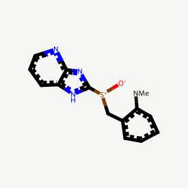 CNc1ccccc1C[S+]([O-])c1nc2ncccc2[nH]1